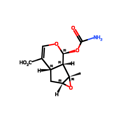 C[C@]12O[C@H]1C[C@@H]1C(C(=O)O)=CO[C@@H](OC(N)=O)[C@H]12